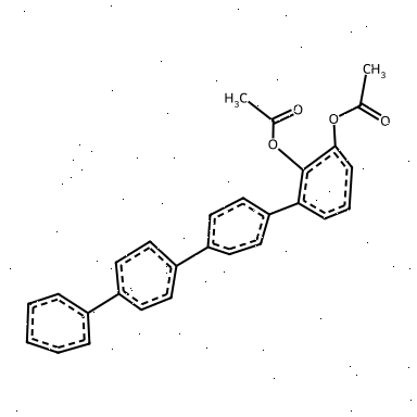 CC(=O)Oc1cccc(-c2ccc(-c3ccc(-c4ccccc4)cc3)cc2)c1OC(C)=O